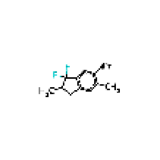 Cc1cc2c(cc1C(C)C)C(F)(F)C(C)C2